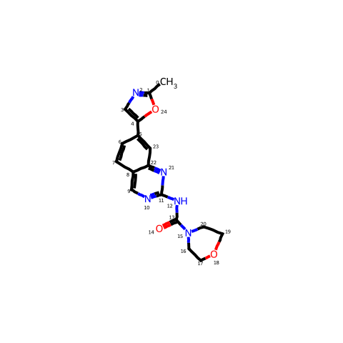 Cc1ncc(-c2ccc3cnc(NC(=O)N4CCOCC4)nc3c2)o1